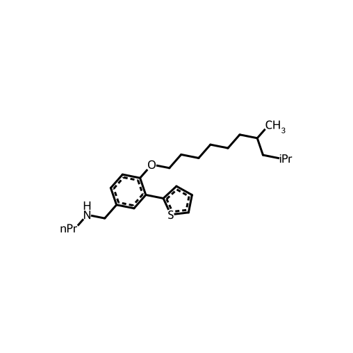 [CH2]CCNCc1ccc(OCCCCCCC(C)CC(C)C)c(-c2cccs2)c1